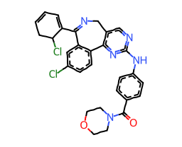 O=C(c1ccc(Nc2ncc3c(n2)-c2ccc(Cl)cc2C(C2=CC=CCC2Cl)=NC3)cc1)N1CCOCC1